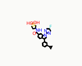 O=C(NC1CCS(O)(O)C1)c1ccc2c(-c3cccc(C4CC4)c3)cn(-c3ncc(F)cn3)c2c1